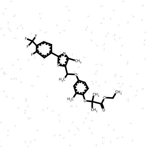 CCOC(=O)C(C)(C)Oc1ccc(OC(C)c2sc(-c3ccc(C(F)(F)F)c(F)c3)nc2C)cc1C